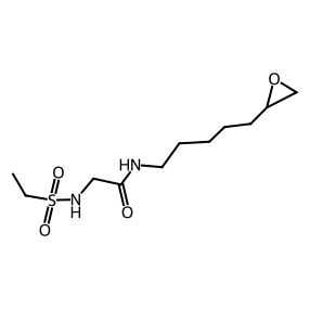 CCS(=O)(=O)NCC(=O)NCCCCCC1CO1